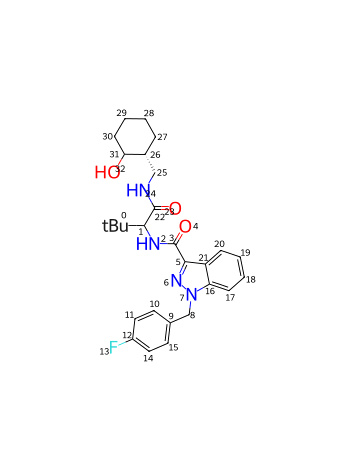 CC(C)(C)C(NC(=O)c1nn(Cc2ccc(F)cc2)c2ccccc12)C(=O)NC[C@H]1CCCCC1O